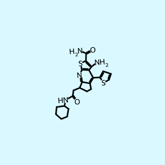 NC(=O)c1sc2nc3c(c(-c4cccs4)c2c1N)CCC3CC(=O)NC1CCCCC1